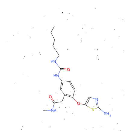 CCCCCNC(=O)Nc1ccc(Oc2cnc(N)s2)c(CC(=O)NC)c1